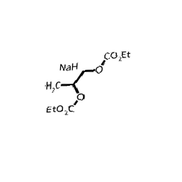 [CH2]C(COC(=O)OCC)OC(=O)OCC.[NaH]